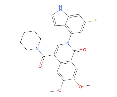 COc1cc2c(C(=O)N3CCCCC3)cn(-c3cc(F)cc4[nH]ccc34)c(=O)c2cc1OC